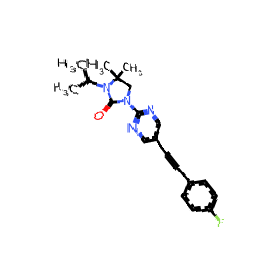 CC(C)N1C(=O)N(c2ncc(C#Cc3ccc(F)cc3)cn2)CC1(C)C